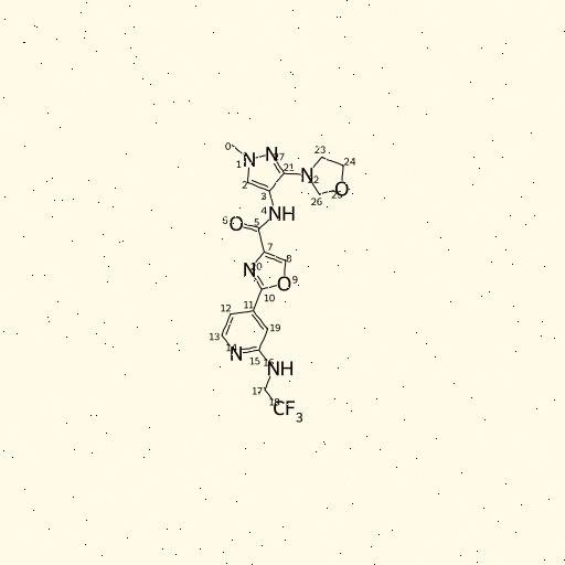 Cn1cc(NC(=O)c2coc(-c3ccnc(NCC(F)(F)F)c3)n2)c(N2CCOC2)n1